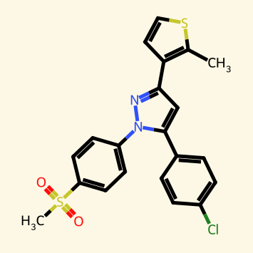 Cc1sccc1-c1cc(-c2ccc(Cl)cc2)n(-c2ccc(S(C)(=O)=O)cc2)n1